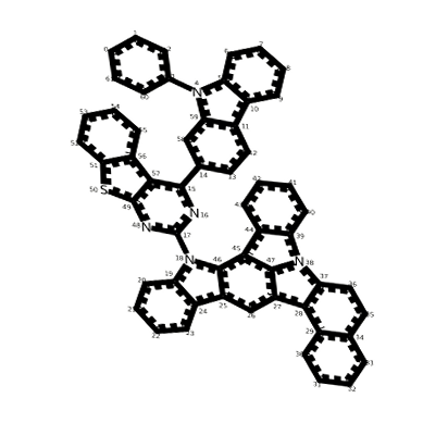 c1ccc(-n2c3ccccc3c3ccc(-c4nc(-n5c6ccccc6c6cc7c8c9ccccc9ccc8n8c9ccccc9c(c65)c78)nc5sc6ccccc6c45)cc32)cc1